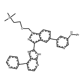 CC(C)Nc1cncc(-c2ccc3c(c2)c(-c2nc4c(-c5cccnc5)ccnc4[nH]2)nn3COCC[Si](C)(C)C)c1